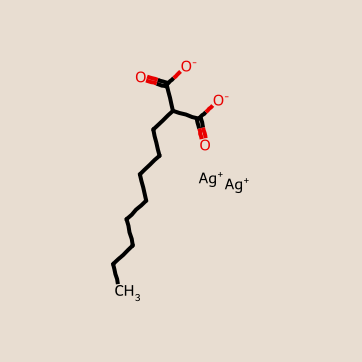 CCCCCCCCC(C(=O)[O-])C(=O)[O-].[Ag+].[Ag+]